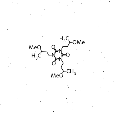 COC(C)CCn1c(=O)n(CCC(C)OC)c(=O)n(CCC(C)OC)c1=O